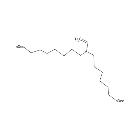 C=C[C](CCCCCCCCCCCCCCCC)CCCCCCCCCCCCCCCCC